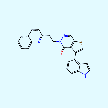 O=c1c2c(-c3cccc4[nH]ccc34)csc2cnn1CCc1ccc2ccccc2n1